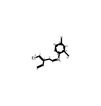 C=C/C(=C\CC)C/C=N\c1ccc(C)cc1C